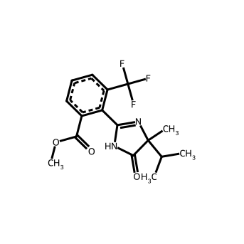 COC(=O)c1cccc(C(F)(F)F)c1C1=NC(C)(C(C)C)C(=O)N1